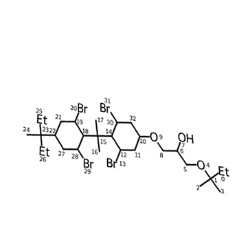 CCC(C)(C)OCC(O)COC1CC(Br)C(C(C)(C)C2C(Br)CC(C(C)(CC)CC)CC2Br)C(Br)C1